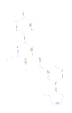 CC(C)n1cnnc1-c1cccc(NC(=O)c2cc(-c3ccc(C(F)(F)F)nc3)cn(C)c2=O)n1